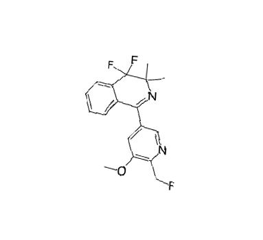 COc1cc(C2=NC(C)(C)C(F)(F)c3ccccc32)cnc1CF